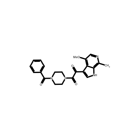 COc1cnc(C)c2[nH]cc(C(=O)C(=O)N3CCN(C(=O)c4ccccc4)CC3)c12